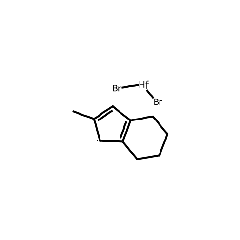 CC1=CC2=C([CH]1)CCCC2.[Br][Hf][Br]